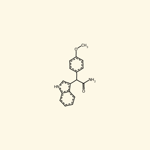 COc1ccc(C(C(N)=O)c2c[nH]c3ccccc23)cc1